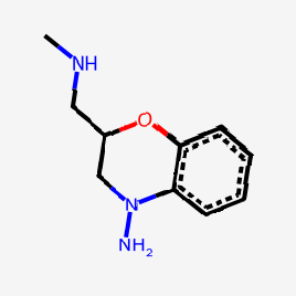 CNCC1CN(N)c2ccccc2O1